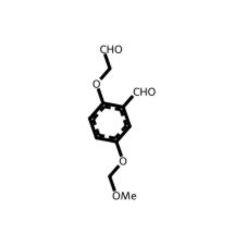 COCOc1ccc(OCC=O)c(C=O)c1